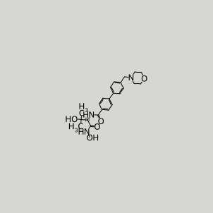 CC(C)(O)[C@H](NC(=O)c1ccc(-c2ccc(CN3CCOCC3)cc2)cc1)C(=O)NO